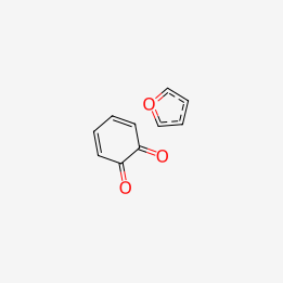 O=C1C=CC=CC1=O.c1ccoc1